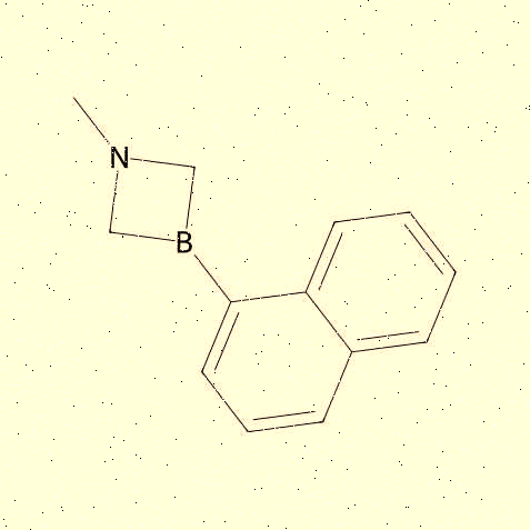 CN1CB(c2cccc3ccccc23)C1